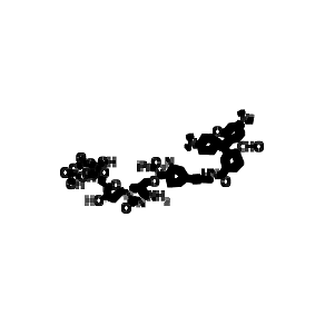 CC(C)C[C@@H](OCc1cn([C@H]2C[C@@H](O)[C@@H](COP(=O)(O)OP(=O)(O)OP(=O)(O)O)O2)c(=O)nc1N)c1ccc(C#CCNC(=O)c2ccc(C=O)c(-c3c4ccc(=[N+](C)C)cc-4oc4cc(N(C)C)ccc34)c2)cc1[N+](=O)[O-]